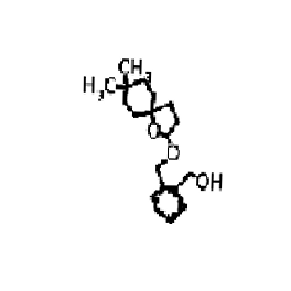 CC1(C)CCC2(CCC(OCc3ccccc3CO)O2)CC1